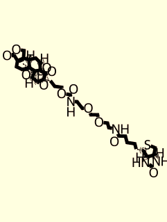 C[C@]12CCC3=C(COC3=O)[C@@H]1C[C@@H]1O[C@@]13C(=O)[C@@]1(CCCOC(=O)NCCOCCOCCNC(=O)CCCC[C@@H]4SC[C@@H]5NC(=O)N[C@@H]54)O[C@H]1[C@@H]1O[C@]123